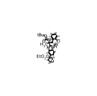 CCOC(=O)C1(c2ccc3[nH]c(C(C)(NC(=O)OC(C)(C)C)[C@H](c4ccccc4Cl)C(C)C)nc3c2)CCOC1